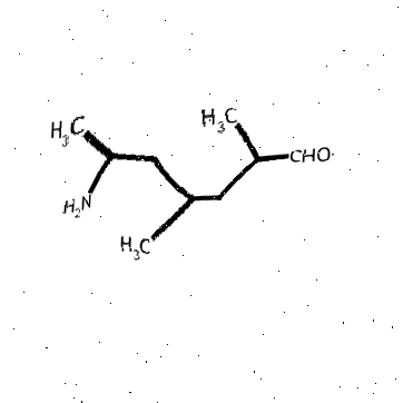 CC(N)CC(C)CC(C)[C]=O